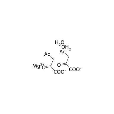 CC(=O)CC(=O)C(=O)[O-].CC(=O)CC(=O)C(=O)[O-].O.O.[Mg+2]